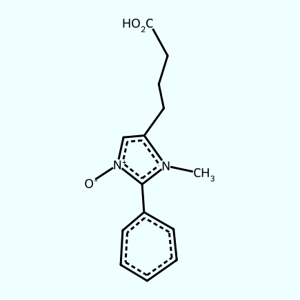 Cn1c(CCCC(=O)O)c[n+]([O-])c1-c1ccccc1